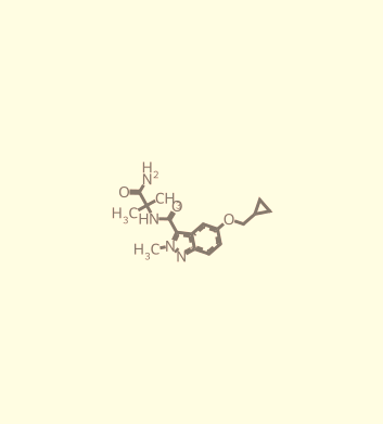 Cn1nc2ccc(OCC3CC3)cc2c1C(=O)NC(C)(C)C(N)=O